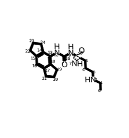 CCNCCCS(=N)(=O)NC(=O)Nc1c2c(cc3c1CCC3)CCC2